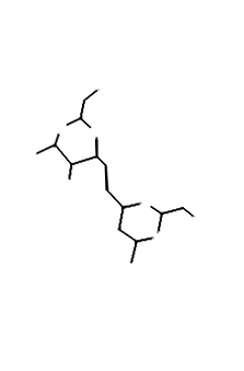 CC1CC(CCC2OC(CF)OC(C)C2C)OC(CF)O1